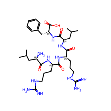 CC(C)C[C@@H](N)C(=O)N[C@H](CCCNC(=N)N)C(=O)N[C@H](CCCNC(=N)N)C(=O)N[C@H](CC(C)C)C(=O)N[C@H](Cc1ccccc1)C(=O)O